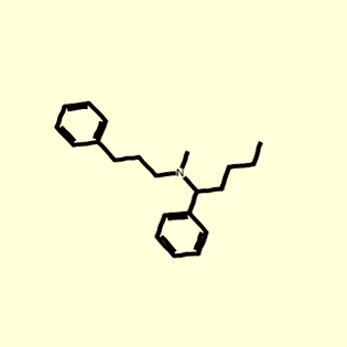 CCC[CH]C(c1ccccc1)N(C)CCCc1ccccc1